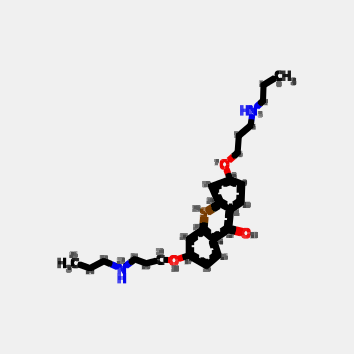 CCCNCCCOc1ccc2c(=O)c3ccc(OCCCNCCC)cc3sc2c1